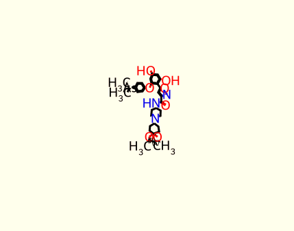 C[C@@H]1OC2(CCC(N3CCC(NC(=O)c4cc(-c5c(O)cc(O)cc5Oc5ccc([As](C)C)cc5)on4)CC3)CC2)O[C@@H]1C